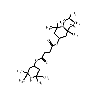 CC(C)ON1C(C)(C)CC(OC(=O)CCC(=O)OC2CC(C)(C)NC(C)(C)C2)CC1(C)C